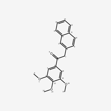 COc1cc(C(=O)Cc2ccc3ccccc3c2)cc(OC)c1OC